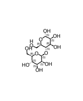 OC[C@H]1O[C@@H](O[C@H]2[C@H](O)[C@H](O)[C@@H](O)O[C@@H]2CO)[C@@H](O)[C@@H](O)[C@@H]1O